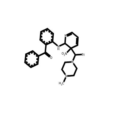 CCC(N1CCN(C)CC1)C1([N+](=O)[O-])C=CC=NC1Nc1ccccc1C(=O)c1ccccc1